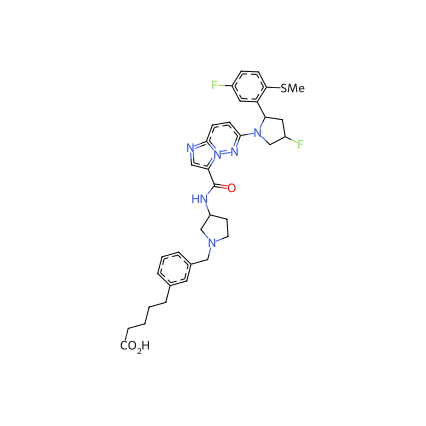 CSc1ccc(F)cc1C1CC(F)CN1c1ccc2ncc(C(=O)NC3CCN(Cc4cccc(CCCCC(=O)O)c4)C3)n2n1